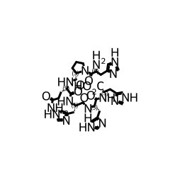 NC(=O)CC[C@H](NC(=O)[C@@H]1CCCN1C(=O)[C@@H](N)Cc1c[nH]cn1)C(=O)N[C@@H](Cc1c[nH]cn1)C(=O)N[C@@H](Cc1c[nH]cn1)C(=O)N[C@@H](Cc1c[nH]cn1)C(=O)O